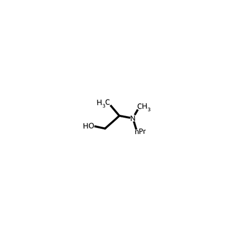 CCCN(C)C(C)CO